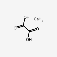 O=C(O)C(=O)O.[GaH3]